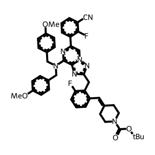 COc1ccc(CN(Cc2ccc(OC)cc2)c2nc(-c3cccc(C#N)c3F)cn3nc(Cc4c(F)cccc4C=C4CCN(C(=O)OC(C)(C)C)CC4)nc23)cc1